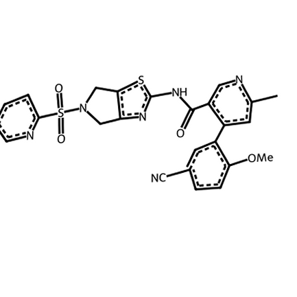 COc1ccc(C#N)cc1-c1cc(C)ncc1C(=O)Nc1nc2c(s1)CN(S(=O)(=O)c1ccccn1)C2